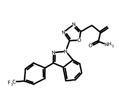 C=C(Cc1nnc(-n2nc(-c3ccc(C(F)(F)F)cc3)c3ccccc32)o1)C(N)=O